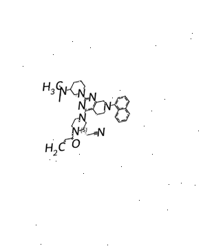 C=CC(=O)N1CCN(c2nc(N3CCCC(N(C)I)C3)nc3c2CCN(c2cccc4ccccc24)C3)C[C@@H]1CC#N